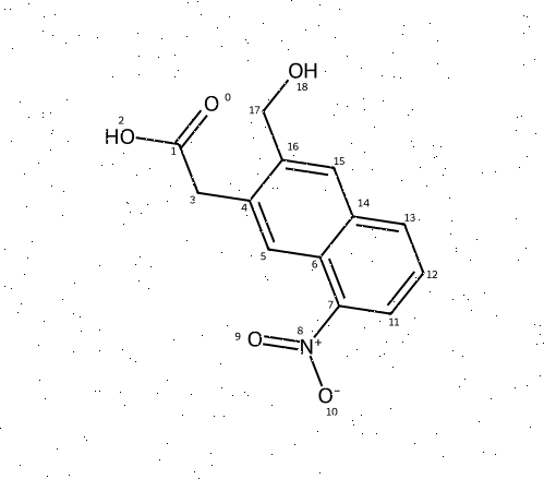 O=C(O)Cc1cc2c([N+](=O)[O-])cccc2cc1CO